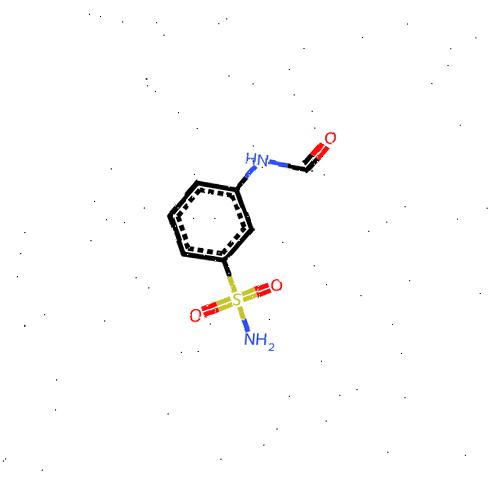 NS(=O)(=O)c1cccc(N[C]=O)c1